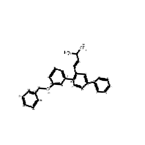 NC(C=Cc1cc(-c2ccccc2)ccc1-c1cccc(OCc2ccccc2)c1)C(F)(F)F